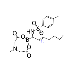 CCCC/C=C/C(NS(=O)(=O)c1ccc(C)cc1)B1OC(=O)CN(C)CC(=O)O1